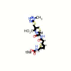 Cn1nnnc1SCC1=C(C(=O)O)N2C(=O)[C@@H](NC(=O)Cc3ccc(CNC(=O)OC(C)(C)C)s3)[C@H]2SC1